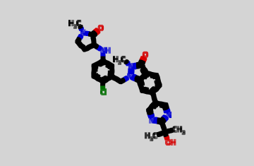 CN1CCC(Nc2ccc(Cl)c(Cn3c4cc(-c5cnc(C(C)(C)O)nc5)ccc4c(=O)n3C)c2)C1=O